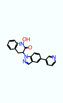 O=C(NO)C(Cc1ccccc1)n1ncc2cc(-c3cccnc3)ccc21